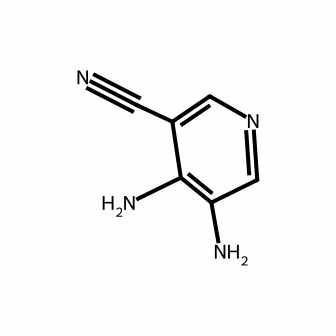 N#Cc1cncc(N)c1N